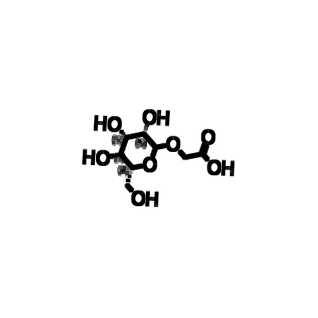 O=C(O)COC1O[C@H](CO)[C@@H](O)[C@H](O)[C@@H]1O